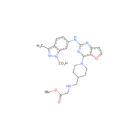 Cc1nn(C(=O)O)c2cc(Nc3nc(N4CCC(CNCC(=O)OC(C)(C)C)CC4)c4occc4n3)ccc12